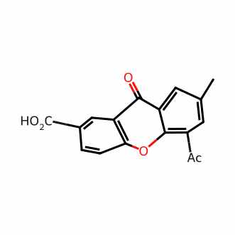 CC(=O)c1cc(C)cc2c(=O)c3cc(C(=O)O)ccc3oc12